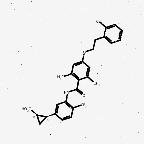 Cc1cc(OCCc2ccccc2Cl)cc(C)c1C(=O)Nc1cc([C@H]2C[C@H]2C(=O)O)ccc1C(F)(F)F